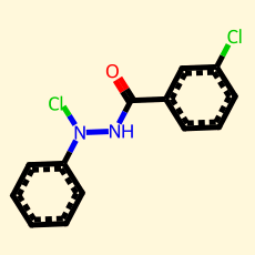 O=C(NN(Cl)c1ccccc1)c1cccc(Cl)c1